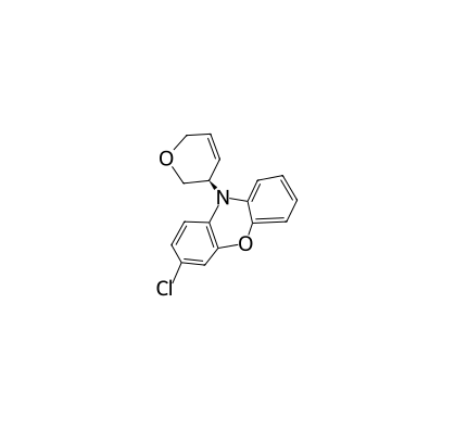 Clc1ccc2c(c1)Oc1ccccc1N2[C@@H]1C=CCOC1